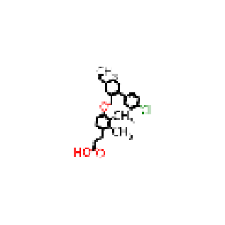 CCC1CCC(c2ccc(Cl)cc2)=C(COc2ccc(CCC(=O)O)c(C)c2C)C1